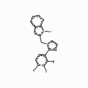 CCn1c(Cn2ccnc2-c2ccc(F)c(F)c2F)nc2cccnc21